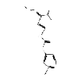 CS/N=C(\C=C\NC(=O)Nc1ccnc(C)c1)C(F)F